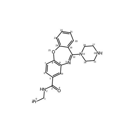 CC(C)CNC(=O)c1ccc2c(c1)N=C(N1CCNCC1)c1ccccc1O2